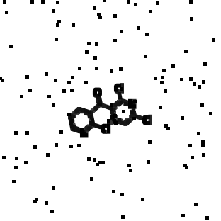 O=C(c1cccnc1Cl)c1ncc(Cl)nc1Cl